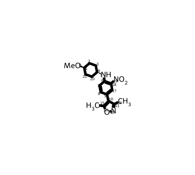 CO[C@H]1CC[C@H](Nc2ccc(-c3c(C)noc3C)cc2[N+](=O)[O-])CC1